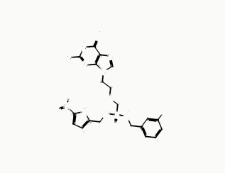 Nc1nc2c(ncn2CCOCP(=O)(OCc2cccc(F)c2)OCc2ccc([N+](=O)[O-])o2)c(=O)[nH]1